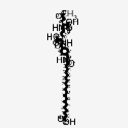 CC(=O)CC[C@H](NC(=O)CC[C@H](NC(=O)C1CCC(CNC(=O)CCCCCCCCCCCCCCCCCCC(=O)O)CC1)C(=O)O)C(=O)O